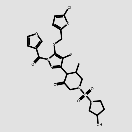 CC1CN(S(=O)(=O)N2CCC(O)C2)CC(=O)C1c1nn(C(=O)c2ccoc2)c(SCc2ccc(Cl)s2)c1F